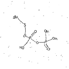 CC(C)(C)SOP(=O)(O)OP(=O)(O)O